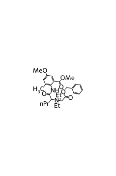 CCCC(C(=O)Nc1c(C)cc(OC)cc1C(=O)OC)[N+](CC)(CC)CC(=O)OCc1ccccc1